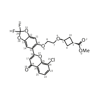 COC(=O)[C@H]1C[C@@H](OCCOc2cc3c(cc2-c2cc(=O)c4cccc(Cl)c4o2)OC(F)(F)O3)C1